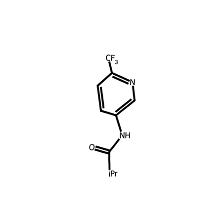 CC(C)C(=O)Nc1ccc(C(F)(F)F)nc1